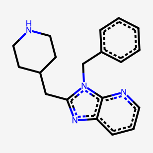 c1ccc(Cn2c(CC3CCNCC3)nc3cccnc32)cc1